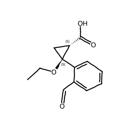 CCO[C@@]1(c2ccccc2C=O)C[C@@H]1C(=O)O